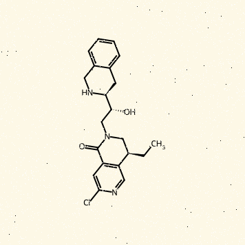 CC[C@@H]1CN(C[C@@H](O)[C@@H]2Cc3ccccc3CN2)C(=O)c2cc(Cl)ncc21